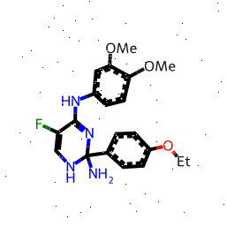 CCOc1ccc(C2(N)N=C(Nc3ccc(OC)c(OC)c3)C(F)=CN2)cc1